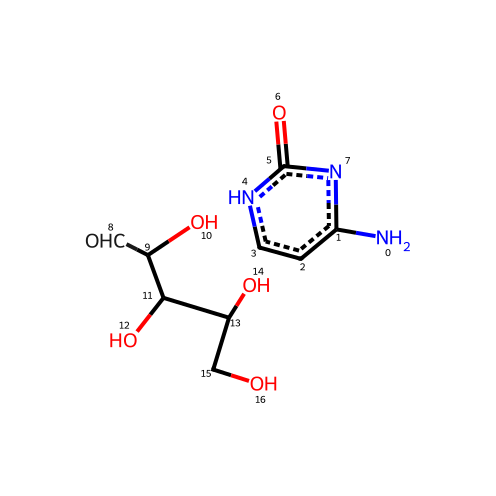 Nc1cc[nH]c(=O)n1.O=CC(O)C(O)C(O)CO